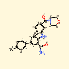 N#Cc1ccc(-c2cc(C(N)=O)c3[nH]c4cc(C(=O)N5CCOCC5)ccc4c3c2)cc1